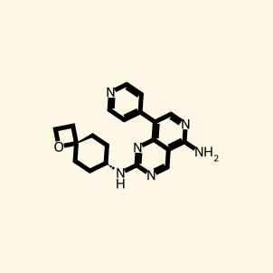 Nc1ncc(-c2ccncc2)c2nc(N[C@H]3CC[C@@]4(CCO4)CC3)ncc12